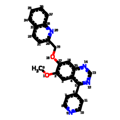 COc1cc2c(-c3ccncc3)ncnc2cc1OCc1ccc2ccccc2n1